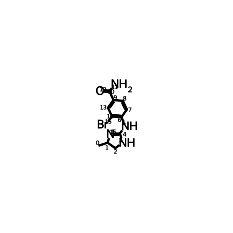 CC1CNC(Nc2ccc(C(N)=O)cc2Br)=N1